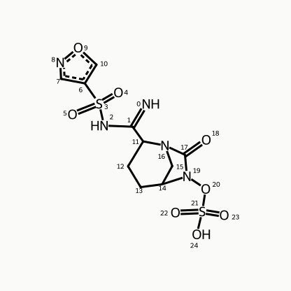 N=C(NS(=O)(=O)c1cnoc1)C1CCC2CN1C(=O)N2OS(=O)(=O)O